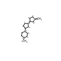 CN1CCN(C2CCN(C3CCN(C)C3)C2)CC1